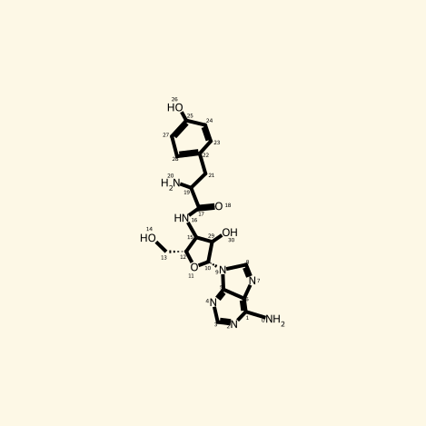 Nc1ncnc2c1ncn2[C@@H]1O[C@H](CO)C(NC(=O)C(N)Cc2ccc(O)cc2)C1O